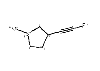 [O-][S+]1CCC(C#CF)C1